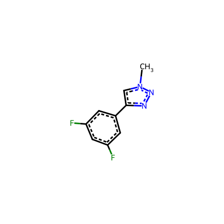 Cn1cc(-c2cc(F)cc(F)c2)nn1